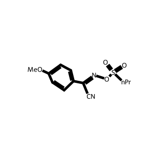 CCCS(=O)(=O)ON=C(C#N)c1ccc(OC)cc1